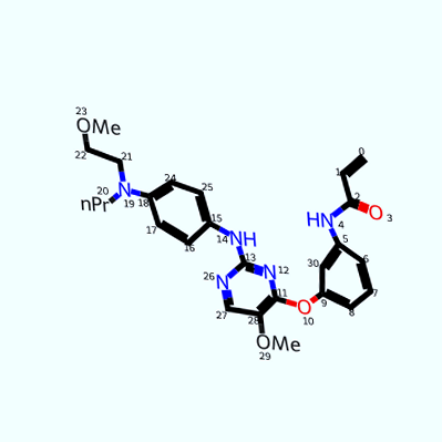 C=CC(=O)Nc1cccc(Oc2nc(Nc3ccc(N(CCC)CCOC)cc3)ncc2OC)c1